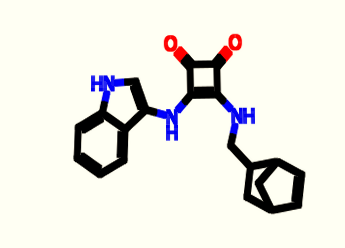 O=c1c(NCC2CC3C=CC2C3)c(Nc2c[nH]c3ccccc23)c1=O